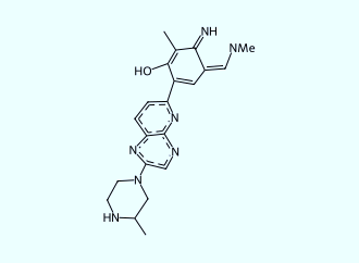 CN/C=C1/C=C(c2ccc3nc(N4CCNC(C)C4)cnc3n2)C(O)=C(C)C1=N